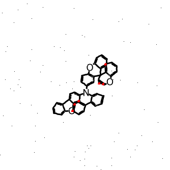 c1ccc(-c2ccccc2N(c2ccc3c(c2)C2(c4ccccc4Oc4ccccc42)c2ccccc2O3)c2ccc3c(c2)oc2ccccc23)cc1